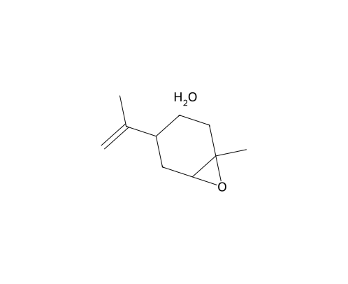 C=C(C)C1CCC2(C)OC2C1.O